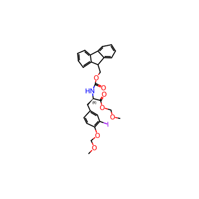 COCOC(=O)[C@@H](Cc1ccc(OCOC)c(I)c1)NC(=O)OCC1c2ccccc2-c2ccccc21